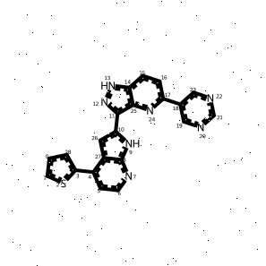 c1csc(-c2ccnc3[nH]c(-c4n[nH]c5ccc(-c6cncnc6)nc45)cc23)c1